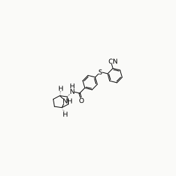 N#Cc1ccccc1Sc1ccc(C(=O)N[C@@H]2C[C@H]3CC[C@@H]2N3)cc1